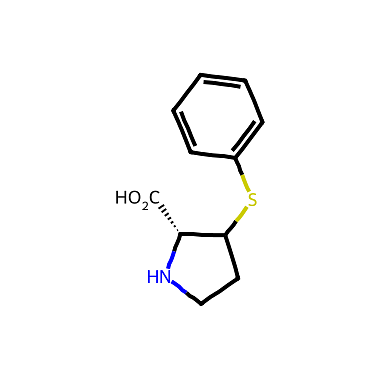 O=C(O)[C@H]1NCCC1Sc1ccccc1